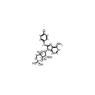 Nc1ncnc2c1nc(Sc1ccc(Cl)cc1)n2[C@@H]1O[C@H]2CO[P+](O)(S)O[C@@H]2[C@H]1O